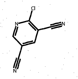 N#Cc1cnc(Cl)c(C#N)c1